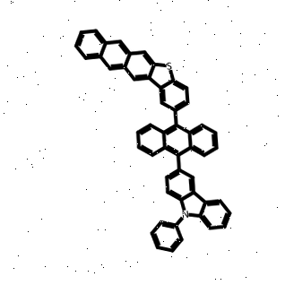 c1ccc(-n2c3ccccc3c3cc(-c4c5ccccc5c(-c5ccc6sc7cc8cc9ccccc9cc8cc7c6c5)c5ccccc45)ccc32)cc1